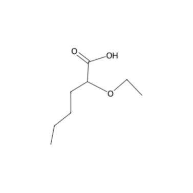 CCCCC(OCC)C(=O)O